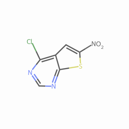 O=[N+]([O-])c1cc2c(Cl)ncnc2s1